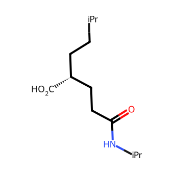 CC(C)CC[C@H](CCC(=O)NC(C)C)C(=O)O